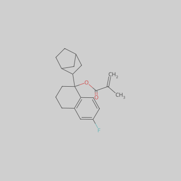 C=C(C)C(=O)OC1(C2CC3CCC2C3)CCCc2cc(F)ccc21